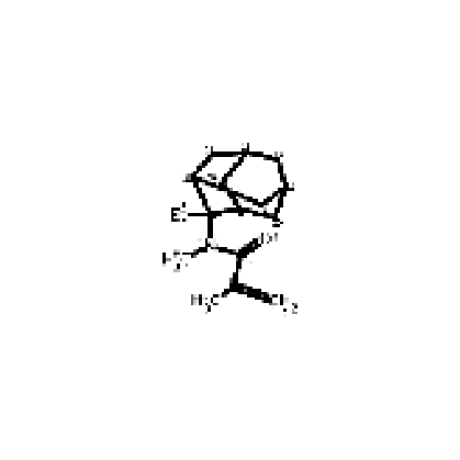 C=C(C)C(=O)N(C)C1(CC)C2CC3CC(C2)CC1C3